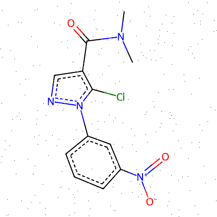 CN(C)C(=O)c1cnn(-c2cccc([N+](=O)[O-])c2)c1Cl